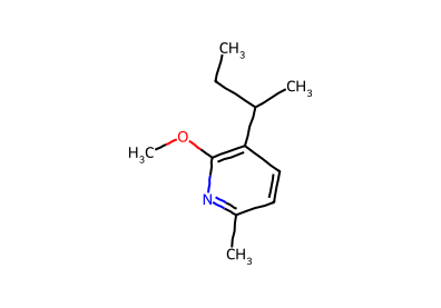 CCC(C)c1ccc(C)nc1OC